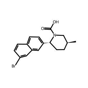 C[C@H]1CC[C@H](c2ccc3ccc(Br)cc3c2)N(C(=O)O)C1